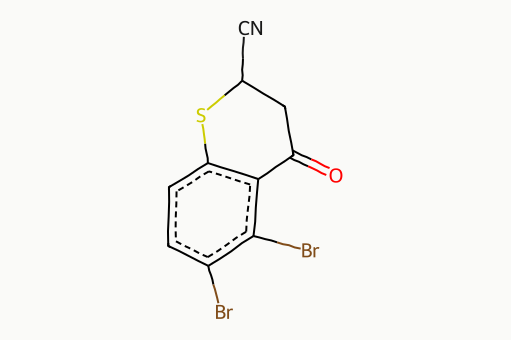 N#CC1CC(=O)c2c(ccc(Br)c2Br)S1